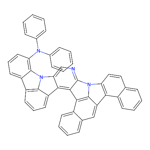 c1ccc(N(c2ccccc2)c2cccc3c4cccc5c6c7c8c9ccccc9cc9c%10c%11ccccc%11ccc%10n(c7ncc6n(c23)c45)c98)cc1